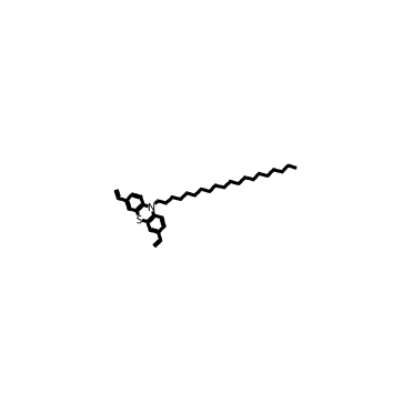 C=Cc1ccc2c(c1)Sc1cc(C=C)ccc1N2CCCCCCCCCCCCCCCCCCCC